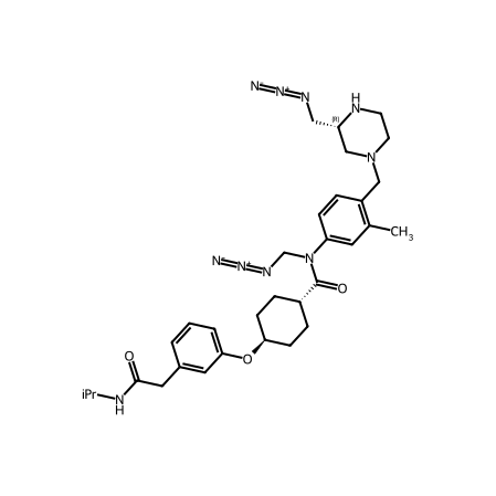 Cc1cc(N(CN=[N+]=[N-])C(=O)[C@H]2CC[C@H](Oc3cccc(CC(=O)NC(C)C)c3)CC2)ccc1CN1CCN[C@@H](CN=[N+]=[N-])C1